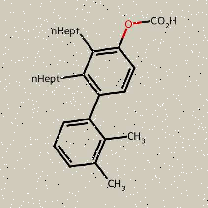 CCCCCCCc1c(OC(=O)O)ccc(-c2cccc(C)c2C)c1CCCCCCC